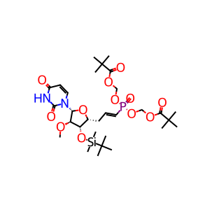 CO[C@@H]1[C@@H](O[Si](C)(C)C(C)(C)C)[C@@H](C/C=C/P(=O)(OCOC(=O)C(C)(C)C)OCOC(=O)C(C)(C)C)O[C@H]1n1ccc(=O)[nH]c1=O